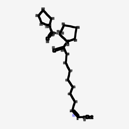 CCCCCCCC/C=C\CCCCCCCC(=O)N1CCC[C@H]1C(=O)N1CCCC1